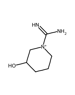 N=C(N)[N+]1CCCC(O)C1